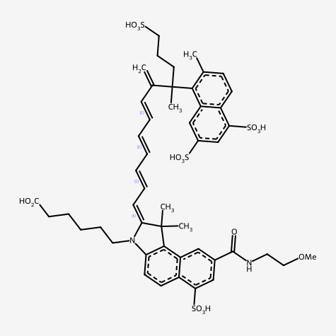 C=C(/C=C/C=C/C=C/C=C1/N(CCCCCC(=O)O)c2ccc3c(S(=O)(=O)O)cc(C(=O)NCCOC)cc3c2C1(C)C)C(C)(CCCS(=O)(=O)O)c1c(C)ccc2c(S(=O)(=O)O)cc(S(=O)(=O)O)cc12